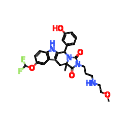 COCCNCCCN1C(=O)N2C(c3cccc(O)c3)c3[nH]c4ccc(OC(F)F)cc4c3CC2(C)C1=O